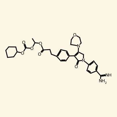 CC(OC(=O)CCc1ccc(C2=C(N3CCOCC3)CN(c3ccc(C(=N)N)cc3)C2=O)cc1)OC(=O)OC1CCCCC1